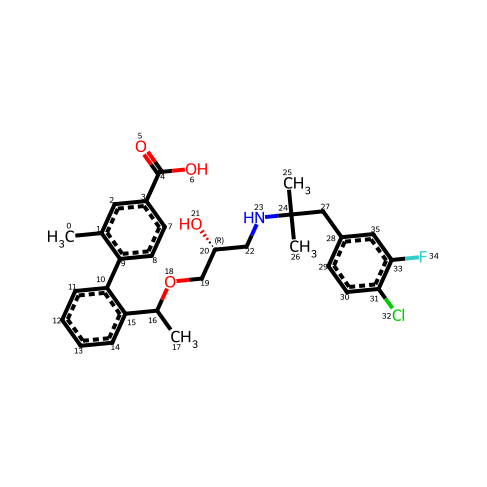 Cc1cc(C(=O)O)ccc1-c1ccccc1C(C)OC[C@H](O)CNC(C)(C)Cc1ccc(Cl)c(F)c1